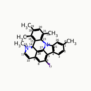 Cc1ccc2c3c(I)cc4cc[n+](C)c5c6c(C)c(C)cc(C)c6n(c2c1)c3c45